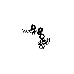 COc1ccccc1C(=O)NCC1(c2ccccc2)CCC(NS(=O)(=O)N2CCOC2=O)CC1